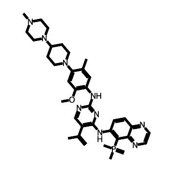 C=C(C)c1cnc(Nc2cc(C)c(N3CCC(N4CCN(C)CC4)CC3)cc2OC)nc1Nc1ccc2nccnc2c1P(=C)(C)C